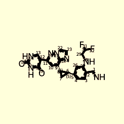 N=Cc1ccc([C@H]2C[C@@H]2c2cc(-c3c[nH]c(=O)[nH]c3=O)nn3ccnc23)cc1NCC(F)F